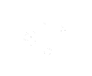 CCS(=O)(=O)NC1CCC(CN2CCC3(CC2)CN(c2ncnc4ccc(CCc5cccnc5)cc24)C3)CC1